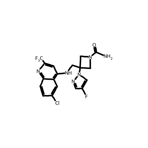 NC(=O)N1CC(CNc2cc(C(F)(F)F)nc3ccc(Cl)cc23)(n2cc(F)cn2)C1